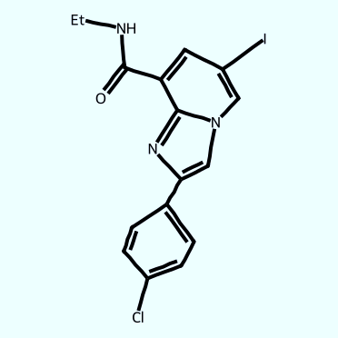 CCNC(=O)c1cc(I)cn2cc(-c3ccc(Cl)cc3)nc12